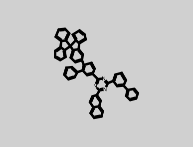 c1ccc(-c2cccc(-c3nc(-c4ccc(-c5ccc6c(c5)-c5ccccc5C65c6ccccc6-c6ccccc65)c(-c5ccccc5)c4)nc(-c4ccc5ccccc5c4)n3)c2)cc1